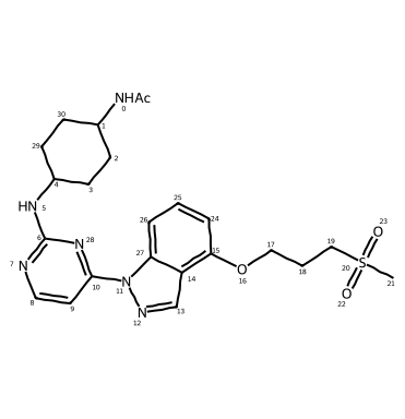 CC(=O)NC1CCC(Nc2nccc(-n3ncc4c(OCCCS(C)(=O)=O)cccc43)n2)CC1